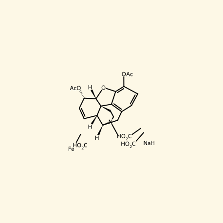 CC(=O)O.CC(=O)O.CC(=O)O.CC(=O)Oc1ccc2c3c1O[C@H]1[C@@H](OC(C)=O)C=C[C@H]4[C@@H](C2)N(C)CC[C@@]341.[Fe].[NaH]